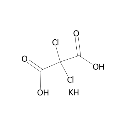 O=C(O)C(Cl)(Cl)C(=O)O.[KH]